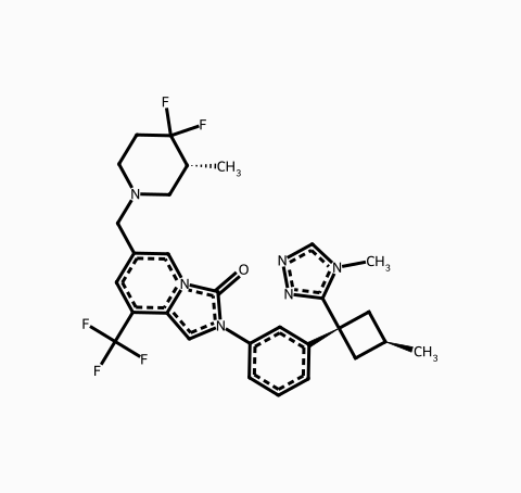 C[C@@H]1CN(Cc2cc(C(F)(F)F)c3cn(-c4cccc([C@]5(c6nncn6C)C[C@H](C)C5)c4)c(=O)n3c2)CCC1(F)F